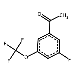 CC(=O)c1cc(F)cc(OC(F)(F)F)c1